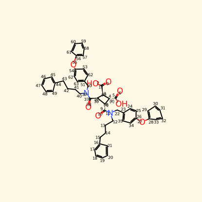 O=C(O)[C@H]1[C@H](C(=O)O)[C@H](C(=O)N(CCCCc2ccccc2)Cc2ccc(Oc3ccccc3)cc2)[C@H]1C(=O)N(CCCCc1ccccc1)Cc1ccc(Oc2ccccc2)cc1